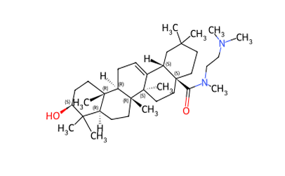 CN(C)CCN(C)C(=O)[C@]12CCC(C)(C)C[C@H]1C1=CC[C@@H]3[C@@]4(C)CC[C@H](O)C(C)(C)[C@@H]4CC[C@@]3(C)[C@]1(C)CC2